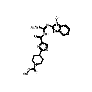 CC(=O)N/C(=N/c1nc2ccccc2n1C(C)=O)NC(=O)c1csc(C2CCN(C(=O)OC(C)(C)C)CC2)n1